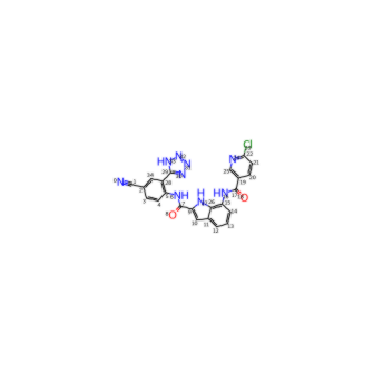 N#Cc1ccc(NC(=O)c2cc3cccc(NC(=O)c4ccc(Cl)nc4)c3[nH]2)c(-c2nnn[nH]2)c1